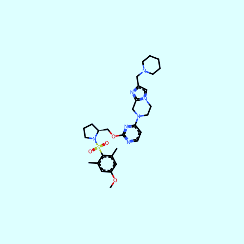 COc1cc(C)c(S(=O)(=O)N2CCC[C@H]2COc2nccc(N3CCn4cc(CN5CCCCC5)nc4C3)n2)c(C)c1